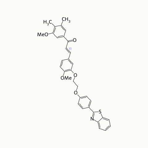 COc1ccc(/C=C/C(=O)c2cc(C)c(C)c(OC)c2)cc1OCCOc1ccc(-c2nc3ccccc3s2)cc1